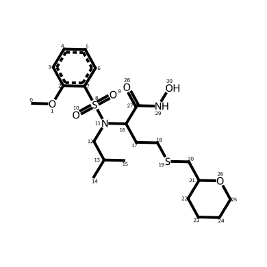 COc1ccccc1S(=O)(=O)N(CC(C)C)C(CCSCC1CCCCO1)C(=O)NO